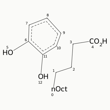 CCCCCCCCCCCC(=O)O.Oc1ccccc1O